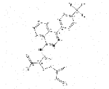 C=CC(=O)N1C[C@@H](Nc2nnc(-c3ccc(C(F)(F)F)cc3)c3ccccc23)[C@H](C(N)=O)C1